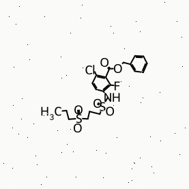 CCCS(=O)(=O)CCCS(=O)(=O)Nc1ccc(Cl)c(C(=O)OCc2ccccc2)c1F